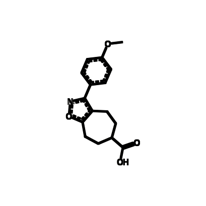 COc1ccc(-c2noc3c2CCC(C(=O)O)CC3)cc1